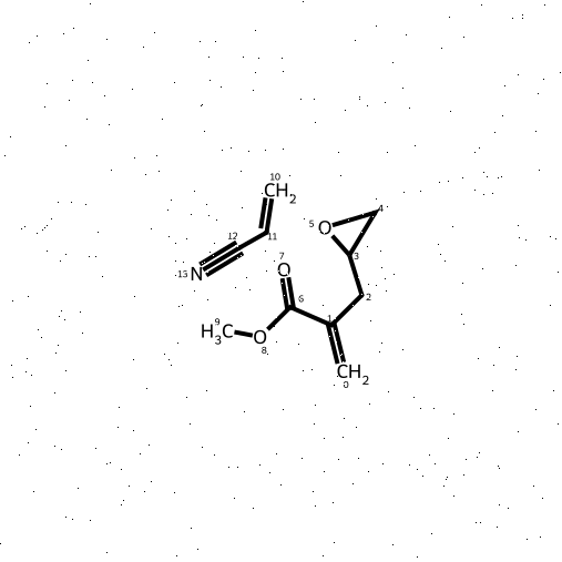 C=C(CC1CO1)C(=O)OC.C=CC#N